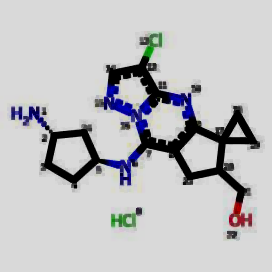 Cl.N[C@H]1CC[C@H](Nc2c3c(nc4c(Cl)cnn24)C2(CC2)C(CO)C3)C1